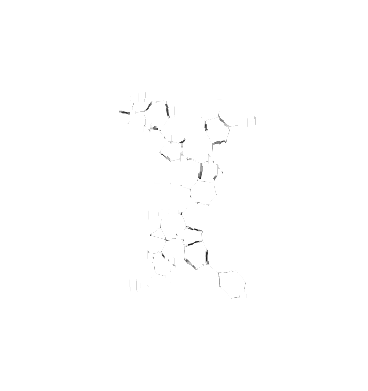 Cc1cc(-n2nc3c(c2-n2ccn(-c4cccc(P(C)(C)=O)n4)c2=O)C(C)N(C(=O)c2cc4cc(C5CCOCC5)ccc4n2C2(C4=NOC(O)N4)CC2C)CC3)cc(C)c1F